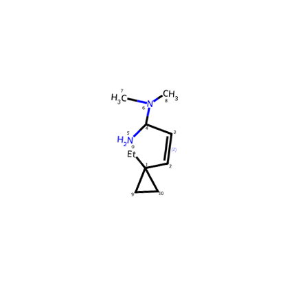 CCC1(/C=C\C(N)N(C)C)CC1